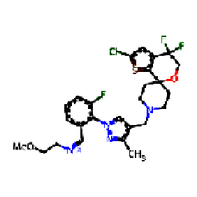 COCC/N=C\c1cccc(F)c1-n1cc(CN2CCC3(CC2)OCC(F)(F)c2cc(Cl)sc23)c(C)n1